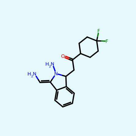 N/C=C1/c2ccccc2C(CC(=O)C2CCC(F)(F)CC2)N1N